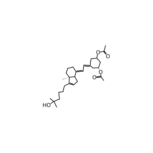 CC(=O)OC1C/C(=C/C=C2\CCC[C@]3(C)C(CCCCC(C)(C)O)=CCC23)C[C@@H](OC(C)=O)C1